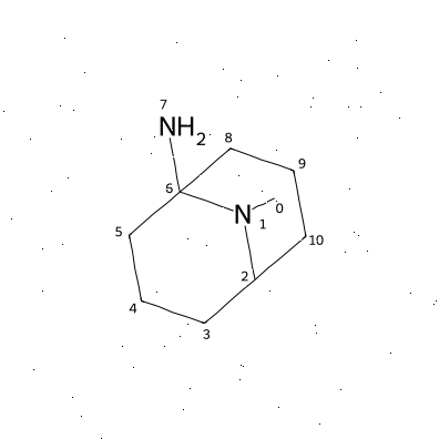 CN1C2CCCC1(N)CCC2